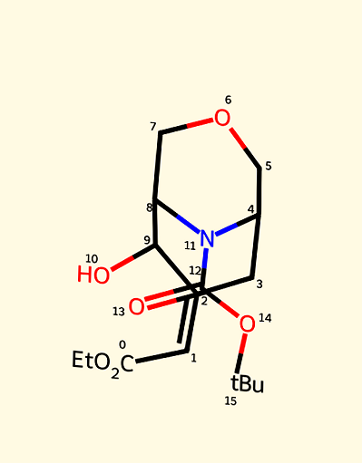 CCOC(=O)/C=C1/CC2COCC(C1O)N2C(=O)OC(C)(C)C